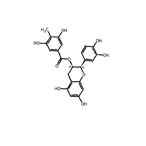 Cc1c(O)cc(C(=O)O[C@@H]2Cc3c(O)cc(O)cc3O[C@@H]2c2ccc(O)c(O)c2)cc1O